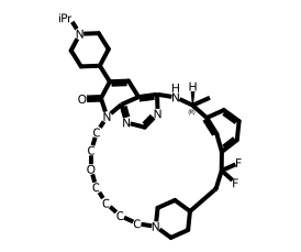 CC(C)N1CCC(c2cc3c4ncnc3n(c2=O)CCOCCCCN2CCC(CC2)CC(F)(F)c2cccc(c2)[C@@H](C)N4)CC1